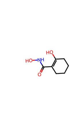 O=C(NO)C1=C(O)CCCC1